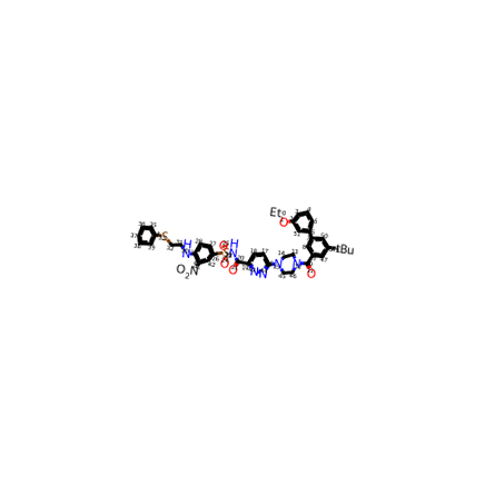 CCOc1cccc(-c2cc(C(=O)N3CCN(c4ccc(C(=O)NS(=O)(=O)c5ccc(NCCSc6ccccc6)c([N+](=O)[O-])c5)nn4)CC3)cc(C(C)(C)C)c2)c1